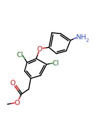 COC(=O)Cc1cc(Cl)c(Oc2ccc(N)cc2)c(Cl)c1